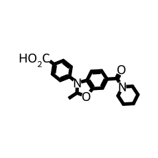 CC1Oc2cc(C(=O)N3CCCCC3)ccc2N1c1ccc(C(=O)O)cc1